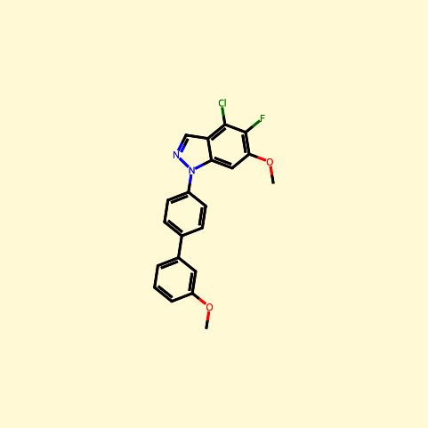 COc1cccc(-c2ccc(-n3ncc4c(Cl)c(F)c(OC)cc43)cc2)c1